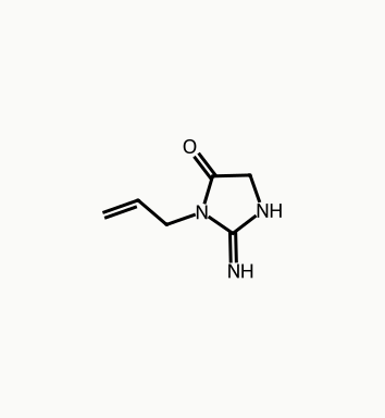 C=CCN1C(=N)NCC1=O